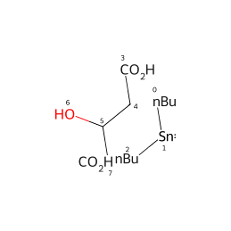 CCC[CH2][Sn][CH2]CCC.O=C(O)CC(O)C(=O)O